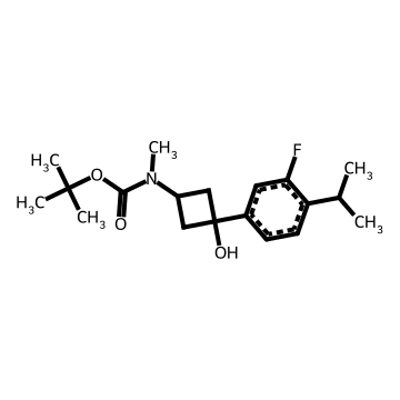 CC(C)c1ccc(C2(O)CC(N(C)C(=O)OC(C)(C)C)C2)cc1F